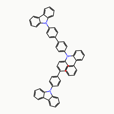 c1ccc(-c2ccccc2N(c2ccc(-c3ccc(-n4c5ccccc5c5ccccc54)cc3)cc2)c2ccc(-c3ccc(-n4c5ccccc5c5ccccc54)cc3)cc2)cc1